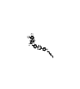 CCCCCCCOc1ccc(-c2cnc(-c3ccc(C[C@H](NS(=O)(=O)c4ccc(Cl)c(Cl)c4)C(=O)O)cc3)nc2)cc1